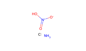 N.O=[N+]([O-])O.[C]